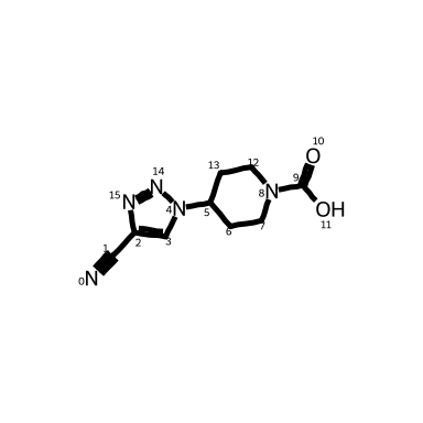 N#Cc1cn(C2CCN(C(=O)O)CC2)nn1